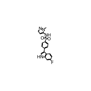 Cn1nccc1NS(=O)(=O)c1ccc(-c2c[nH]c3cc(F)ccc23)cc1